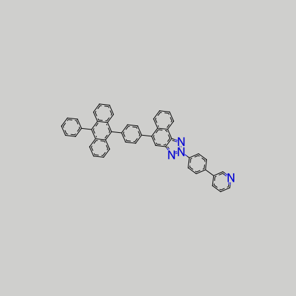 c1ccc(-c2c3ccccc3c(-c3ccc(-c4cc5nn(-c6ccc(-c7cccnc7)cc6)nc5c5ccccc45)cc3)c3ccccc23)cc1